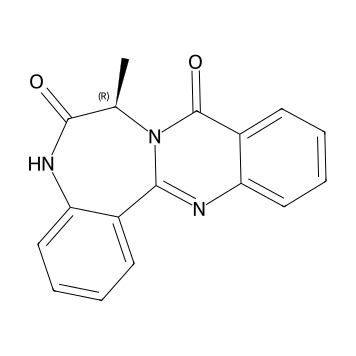 C[C@@H]1C(=O)Nc2ccccc2-c2nc3ccccc3c(=O)n21